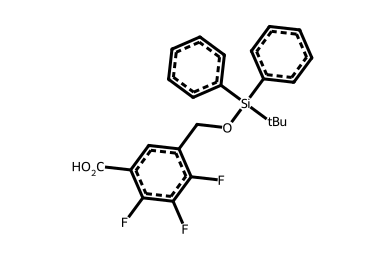 CC(C)(C)[Si](OCc1cc(C(=O)O)c(F)c(F)c1F)(c1ccccc1)c1ccccc1